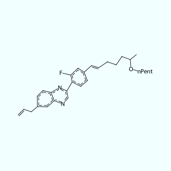 C=CCc1ccc2nc(-c3ccc(C=CCCCC(C)OCCCCC)cc3F)cnc2c1